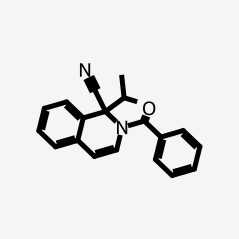 CC(C)C1(C#N)c2ccccc2C=CN1C(=O)c1ccccc1